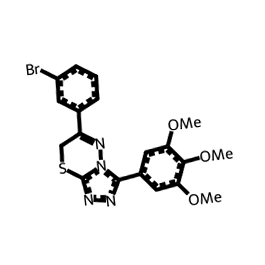 COc1cc(-c2nnc3n2N=C(c2cccc(Br)c2)CS3)cc(OC)c1OC